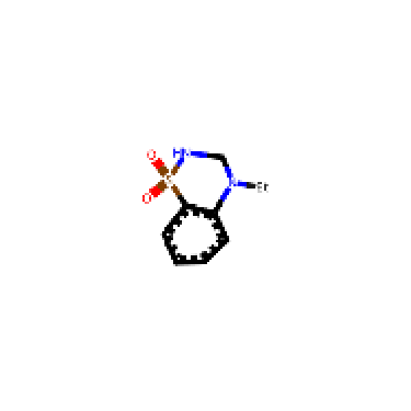 CCN1CNS(=O)(=O)c2ccccc21